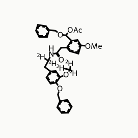 [2H]C([2H])(Cc1ccc(OCc2ccccc2)c(OC([2H])([2H])[2H])c1)NC(=O)Cc1ccc(OC)cc1C(OCc1ccccc1)OC(C)=O